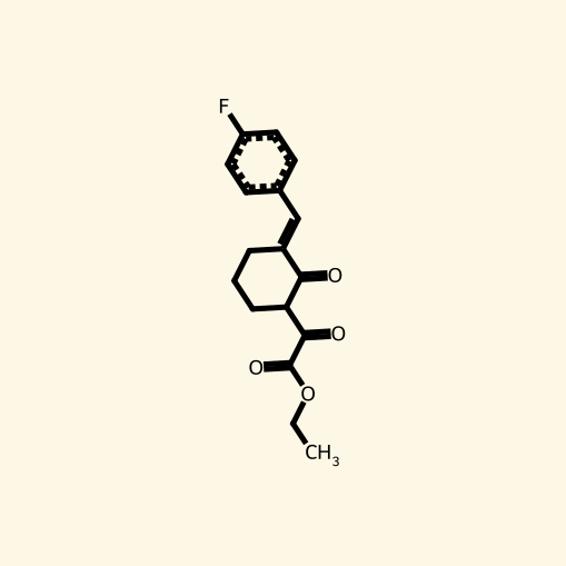 CCOC(=O)C(=O)C1CCC/C(=C\c2ccc(F)cc2)C1=O